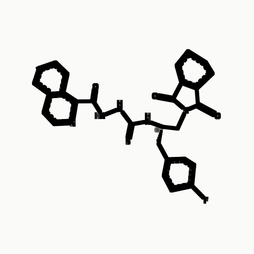 O=C(NNC(=S)N[C@@H](Cc1ccc(F)cc1)CN1C(=O)c2ccccc2C1=O)c1nccc2c[c]ccc12